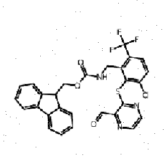 O=Cc1nccnc1Sc1c(Cl)ccc(C(F)(F)F)c1CNC(=O)OCC1c2ccccc2-c2ccccc21